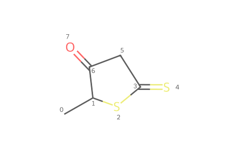 CC1SC(=S)CC1=O